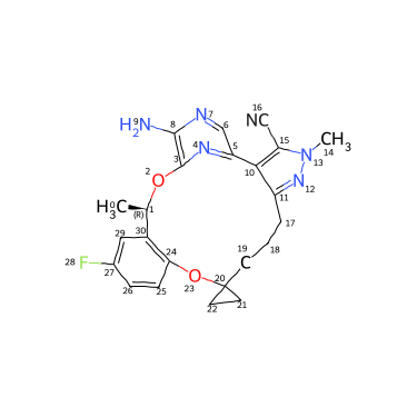 C[C@H]1Oc2nc(cnc2N)-c2c(nn(C)c2C#N)CCCC2(CC2)Oc2ccc(F)cc21